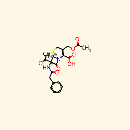 CC(=O)OCC1=C(C(=O)O)N2C(=O)[C@](NC(=O)Cc3ccccc3)(C(C)=O)[C@H]2SC1